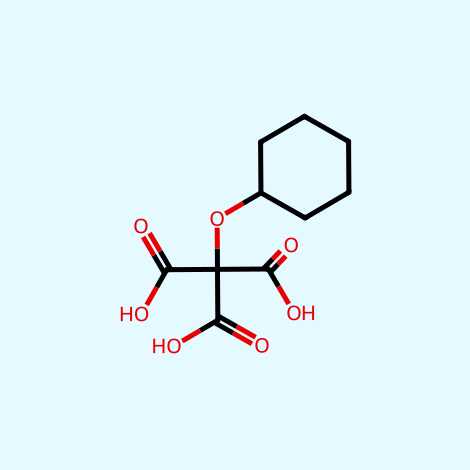 O=C(O)C(OC1CCCCC1)(C(=O)O)C(=O)O